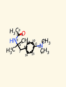 CC(=O)NC(C)(C)Cc1ccc(N(C)C)cc1